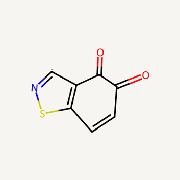 O=C1C=Cc2sn[c]c2C1=O